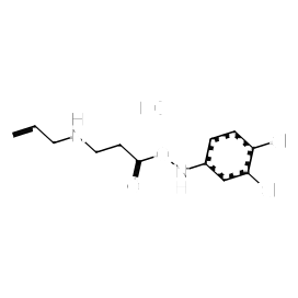 C=CCNCCC(=O)ONc1ccc(Cl)c(Cl)c1.Cl